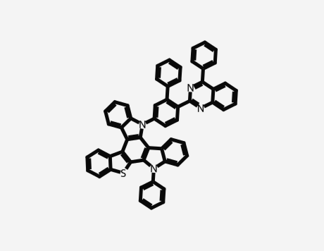 c1ccc(-c2cc(-n3c4ccccc4c4c5c6ccccc6sc5c5c(c6ccccc6n5-c5ccccc5)c43)ccc2-c2nc(-c3ccccc3)c3ccccc3n2)cc1